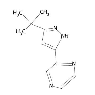 CC(C)(C)c1cc(-c2cnccn2)[nH]n1